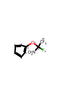 O=[N+]([O-])C(F)(Oc1ccccc1)C(F)(F)F